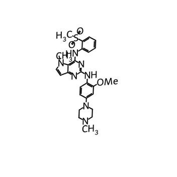 COc1cc(N2CCN(C)CC2)ccc1Nc1nc(Nc2ccccc2S(C)(=O)=O)c2c(ccn2C)n1